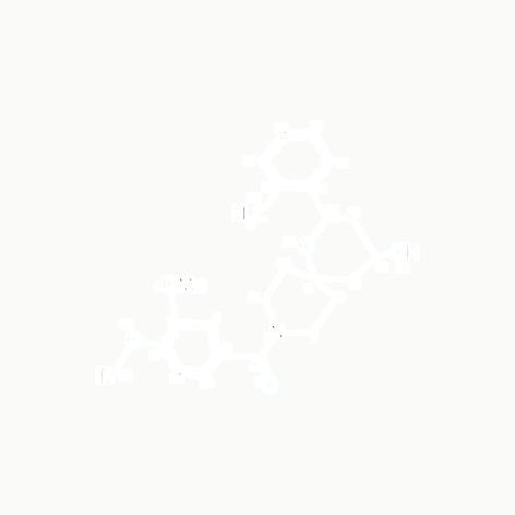 COc1cc(C(=O)N2CCC3(CC2)CC(O)CC(c2ccccc2C)O3)ccc1OC(C)C